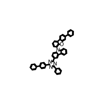 c1ccc(-c2ccc(-c3nc(-c4ccccc4)nc(-c4ccc5c(c4)c4ccccc4n5-c4cccc5c4oc4cc(-c6ccccc6)ccc45)n3)cc2)cc1